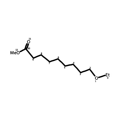 CCOCCCCCCCCC(=O)OC